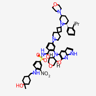 CC(C)c1ccccc1[C@H]1CC[C@H](N2CCOCC2)CN1C1CC2(CCN(c3ccc(C(=O)NS(=O)(=O)c4ccc(NCC5CCC(C)(O)CC5)c([N+](=O)[O-])c4)c(N4c5cc6cc[nH]c6nc5O[C@H]5COCC[C@@H]54)c3)CC2)C1